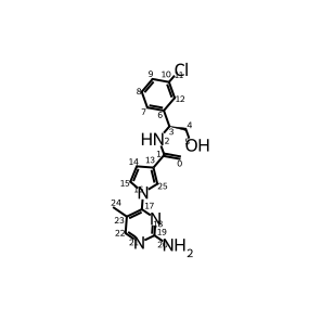 C=C(N[C@H](CO)c1cccc(Cl)c1)c1ccn(-c2nc(N)ncc2C)c1